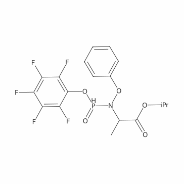 CC(C)OC(=O)C(C)N(Oc1ccccc1)[PH](=O)Oc1c(F)c(F)c(F)c(F)c1F